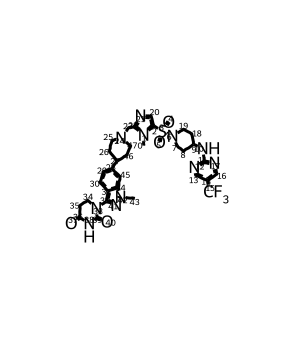 Cn1c(S(=O)(=O)N2CCC(Nc3ncc(C(F)(F)F)cn3)CC2)cnc1CN1CCC(c2ccc3c(N4CCC(=O)NC4=O)nn(C)c3c2)CC1